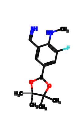 CNc1c(F)cc(B2OC(C)(C)C(C)(C)O2)cc1C=N